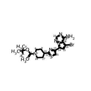 CC(C)(C)OC(=O)N1CCC(c2nc(-c3cc(Br)c4c(N)ncnn34)cs2)CC1